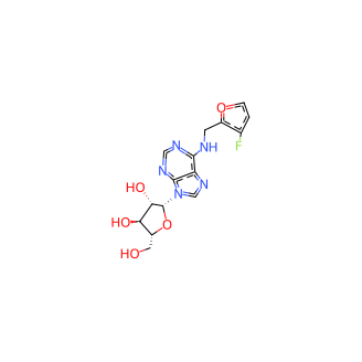 OC[C@H]1O[C@@H](n2cnc3c(NCc4occc4F)ncnc32)[C@@H](O)[C@@H]1O